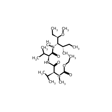 CCOC(=O)N(C)[C@H](C(=O)N[C@H](C(=O)N(C)[C@@H]([C@@H](C)CC)[C@@H](CC)OC)C(C)C)C(C)C